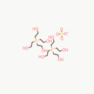 O=S(=O)([O-])[O-].OCC[P+](CCO)(CCO)CCO.OCC[P+](CCO)(CCO)CCO